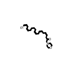 CC/C=C\C/C=C\C/C=C\C/C=C\C/C=C\C/C=C\CC(=O)CN1CCOCC1